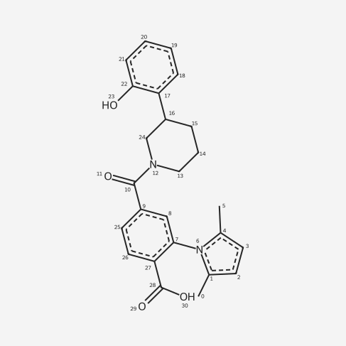 Cc1ccc(C)n1-c1cc(C(=O)N2CCCC(c3ccccc3O)C2)ccc1C(=O)O